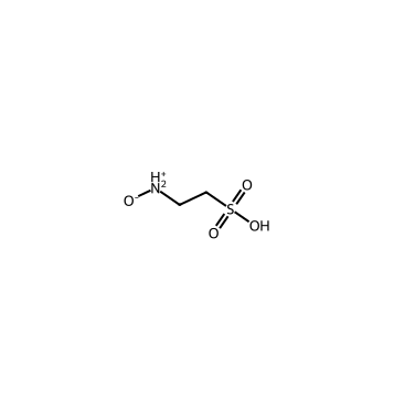 O=S(=O)(O)CC[NH2+][O-]